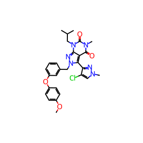 COc1ccc(Oc2cccc(Cn3nc4c(c3-c3nn(C)cc3Cl)c(=O)n(C)c(=O)n4CC(C)C)c2)cc1